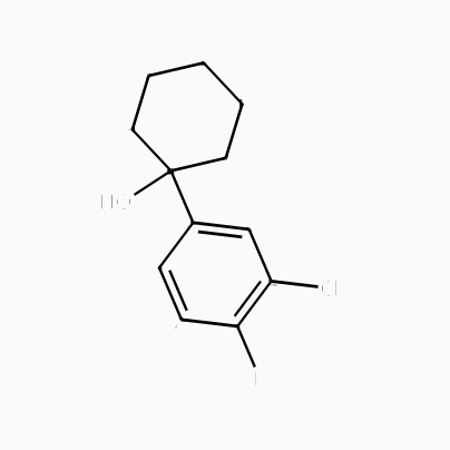 OC1(c2ccc(F)c(Cl)c2)C[CH]CCC1